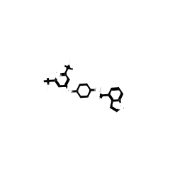 O=C(NC1CCC(Nc2cc(C(F)(F)F)nc(C(F)(F)F)c2)CC1)c1cccc2[nH]ccc12